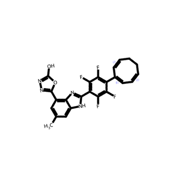 Cc1cc(-c2nnc(O)o2)c2nc(-c3c(F)c(F)c(C4=C/C=C\CC/C=C\4)c(F)c3F)[nH]c2c1